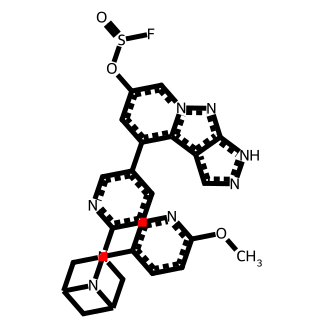 COc1ccc(CN2C3CC2CN(c2ccc(-c4cc(OS(=O)F)cn5nc6[nH]ncc6c45)cn2)C3)cn1